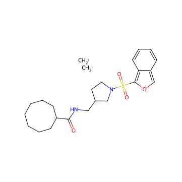 O=C(NCC1CCN(S(=O)(=O)c2occ3ccccc23)C1)[C]1CCCCCCC1.[CH2].[CH2]